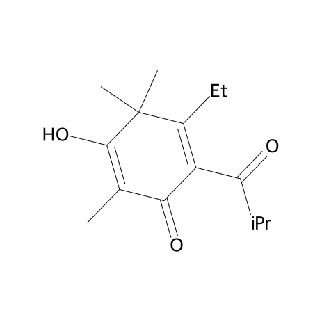 CCC1=C(C(=O)C(C)C)C(=O)C(C)=C(O)C1(C)C